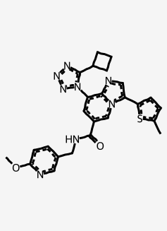 COc1ccc(CNC(=O)c2cc(-n3nnnc3C3CCC3)c3ncc(-c4ccc(C)s4)n3c2)cn1